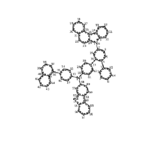 c1ccc(-c2ccc(-n3c4ccccc4c4c5ccccc5ccc43)cc2-c2ccc(N(c3ccc(-c4cccc5ccccc45)cc3)c3ccc4c(c3)sc3ccccc34)cc2)cc1